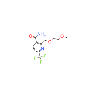 COCCOCc1nc(C(F)(F)F)ccc1C(N)=O